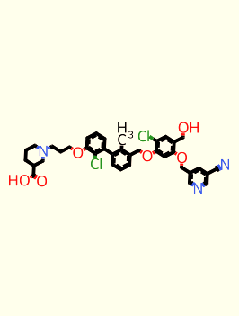 Cc1c(COc2cc(OCc3cncc(C#N)c3)c(CO)cc2Cl)cccc1-c1cccc(OCCCN2CCCC(C(=O)O)C2)c1Cl